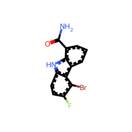 NC(=O)c1cccc2c1[nH]c1ccc(F)c(Br)c12